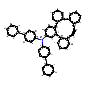 c1c2ccccc2c2ccccc2c2ccc(N(c3ccc(-c4ccccc4)cc3)c3ccc(-c4ccccc4)cc3)cc2c2ccccc2c#1